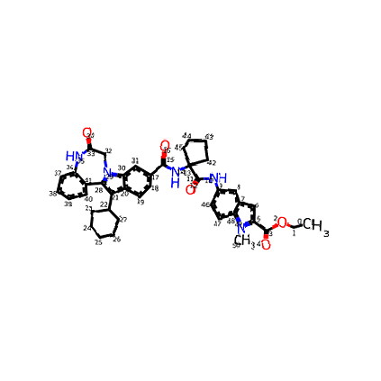 CCOC(=O)c1cc2cc(NC(=O)C3(NC(=O)c4ccc5c(C6CCCCC6)c6n(c5c4)CC(=O)Nc4ccccc4-6)CCCC3)ccc2n1C